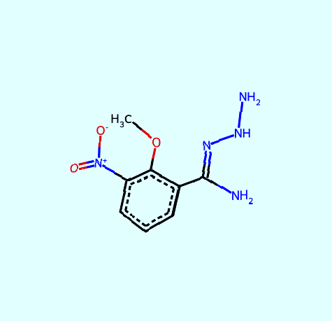 COc1c(/C(N)=N/NN)cccc1[N+](=O)[O-]